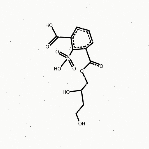 O=C(O)c1cccc(C(=O)OCC(O)CCO)c1S(=O)(=O)O